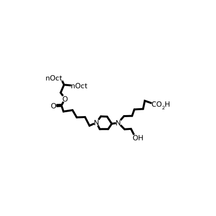 CCCCCCCCC(CCCCCCCC)COC(=O)CCCCCN1CCC(N(CCO)CCCCCC(=O)O)CC1